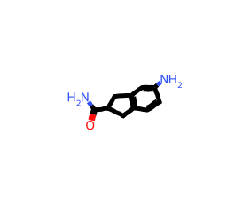 NC(=O)C1Cc2ccc(N)cc2C1